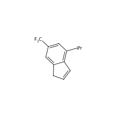 CC(C)c1cc(C(F)(F)F)cc2c1C=CC2